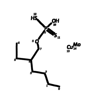 CCCCC(CC)COP(O)(=S)S.[Cu].[Mo]